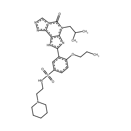 CCCOc1ccc(S(=O)(=O)NCCN2CCCCC2)cc1-c1nc2c([nH]1)c1nncn1c(=O)n2CC(C)C